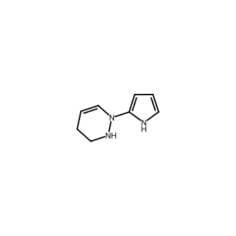 C1=CN(c2ccc[nH]2)NCC1